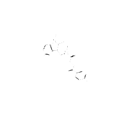 Cc1ccc2c(c1)C1CN(C(=O)CCC(=O)c3ccc(F)cc3)CCC1N2